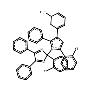 CC1C=CC=C(c2nc(-c3ccccc3Cl)n(C3(c4ccccc4Cl)N=C(c4ccccc4)C(c4ccccc4)=N3)c2-c2ccccc2)C1